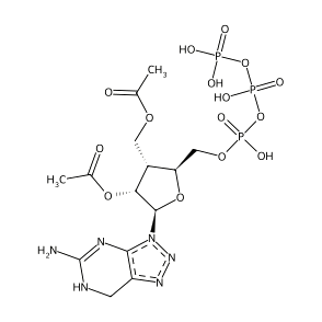 CC(=O)OC[C@H]1[C@@H](OC(C)=O)[C@H](n2nnc3c2N=C(N)NC3)O[C@@H]1COP(=O)(O)OP(=O)(O)OP(=O)(O)O